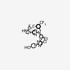 CC[C@@H]1C[C@H](N(Cc2cc(C(F)(F)F)cc(C(F)(F)F)c2)c2ncc(N3CCNC3=O)cn2)CN1c1nc(N2CCC(O)CC2)ncc1Cl